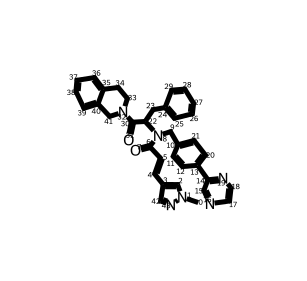 Cn1cc(C=CC(=O)N(Cc2ccc(-c3cnccn3)cc2)C(Cc2ccccc2)C(=O)N2CCc3ccccc3C2)cn1